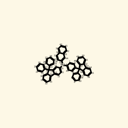 c1ccc(C2(c3ccc(N(c4ccc5c(c4)C(c4ccccc4)(c4ccccc4)c4ccccc4-5)c4ccc5ccccc5c4)cc3)c3ccccc3-c3ccccc32)cc1